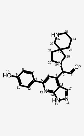 O=CC(c1cc(-c2ccc(O)cc2)nc2[nH]ncc12)N1CCC2(CCCNC2)C1